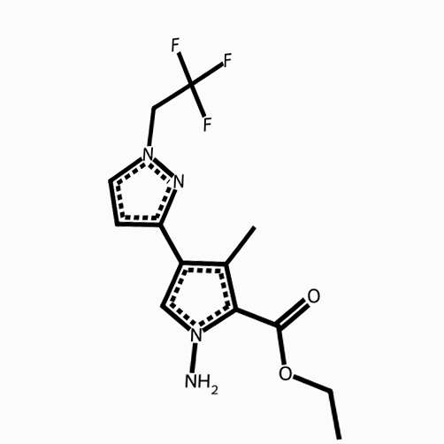 CCOC(=O)c1c(C)c(-c2ccn(CC(F)(F)F)n2)cn1N